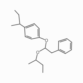 CCC(C)OC(Cc1ccccc1)Oc1ccc(C(C)CC)cc1